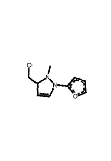 CN1C(C[O])C=CN1c1ccco1